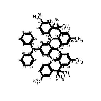 Cc1ccc2c(c1)C(C)(C)c1cc(C)cc3c1N2c1cc(N(c2ccccc2)c2ccccc2)cc2c1B3c1cc(C)cc3c1N2c1ccc(C)cc1C3(C)C